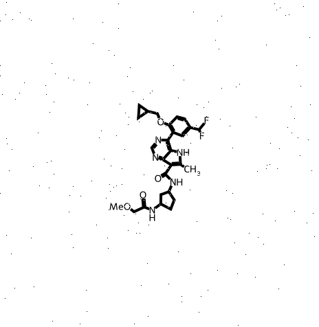 COCC(=O)NC1CCC(NC(=O)c2c(C)[nH]c3c(-c4cc(C(F)F)ccc4OCC4CC4)ncnc23)C1